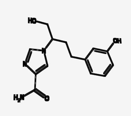 NC(=O)c1cn(C(CO)CCc2cccc(O)c2)cn1